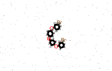 Brc1cccc(Oc2ccc(Oc3ccc(Oc4cccc(Br)c4)cc3)cc2)c1